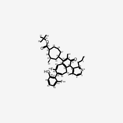 CCCc1nccc(C)c1C1C(=O)C(C)=C(C2CCCC(C(=O)OC(C)(C)C)C[C@H](C)C2)C2=C1CC=C(c1c(O)cccc1F)C(F)=C2